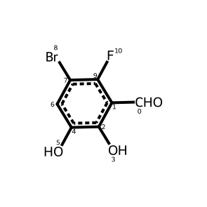 O=Cc1c(O)c(O)cc(Br)c1F